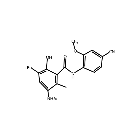 CC(=O)Nc1cc(C(C)(C)C)c(O)c(C(=O)Nc2ccc(C#N)cc2OC(F)(F)F)c1C